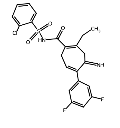 CCC1=C(C(=O)NS(=O)(=O)c2ccccc2Cl)CC=C(c2cc(F)cc(F)c2)C(=N)C1